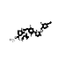 COC(=O)c1ccc2nc(Cc3cc(F)c(-c4ccc(F)c(OCc5ccc(C#N)cc5F)n4)cc3F)n(CC3(CC#N)CC3)c2c1